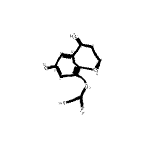 C=C1CCOc2c(OC(F)F)cc(Cl)cc21